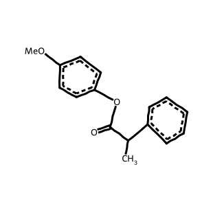 COc1ccc(OC(=O)C(C)c2ccccc2)cc1